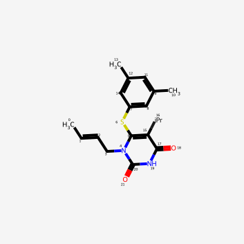 CC=CCn1c(Sc2cc(C)cc(C)c2)c(C(C)C)c(=O)[nH]c1=O